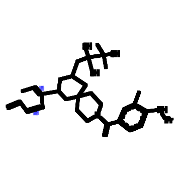 C=C/C=C\C(=C/C)C1CC(CC(S)(S)C(C)(C)S)CC2(CCN(C(=C)c3ccc(NC(C)C)c(C)c3)CC2)C1